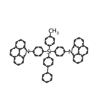 Cc1ccc([Si](c2ccc(-c3ccccc3)cc2)(c2ccc(-n3c4cccc5ccc6cccc3c6c54)cc2)c2ccc(-n3c4cccc5ccc6cccc3c6c54)cc2)cc1